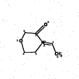 [CH2-]/C=[N+]1\CCOCC1=O